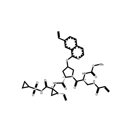 C=CC(=O)NC[C@H](NC(=O)OC(C)(C)C)C(=O)N1CC(Oc2nccc3ccc(C=C)cc23)C[C@H]1C(=O)N[C@]1(C(=O)NS(=O)(=O)C2CC2)C[C@H]1C=C